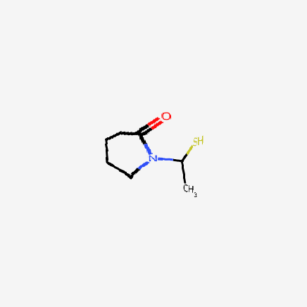 CC(S)N1CCCCC1=O